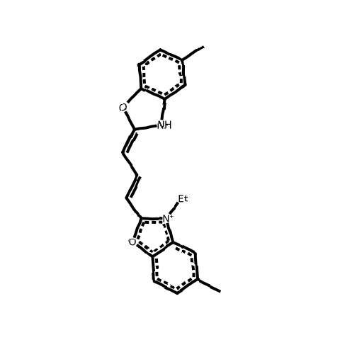 CC[n+]1c(C=CC=C2Nc3cc(C)ccc3O2)oc2ccc(C)cc21